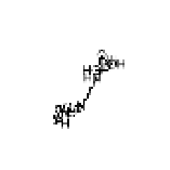 O=C(Nc1ccccc1-c1cccs1)OC1CCN(CCCCCCCCCNC[C@@H](O)c2ccc(O)c3[nH]c(=O)ccc23)CC1